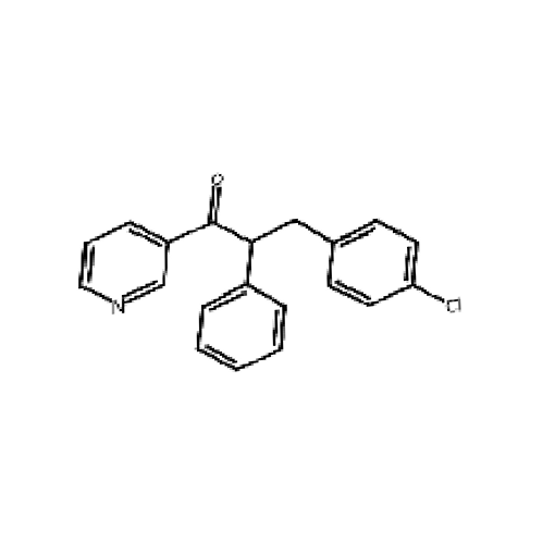 O=C(c1cccnc1)C(Cc1ccc(Cl)cc1)c1ccccc1